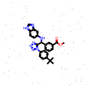 COC(=O)c1cccc(C(Nc2ccc3[nH]cnc3c2)c2nnnn2-c2ccc(C(C)(C)C)cc2)c1